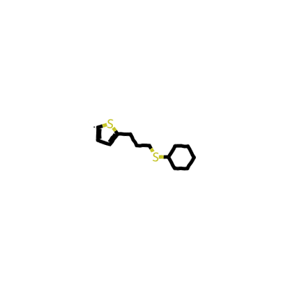 [c]1ccc(CCCSC2CCCCC2)s1